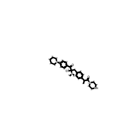 CCC(Cc1ccc(C(C)C(=O)N2CCNCC2)cc1)(C(=O)c1ccc(N2CCCCC2)cc1)N(C)C